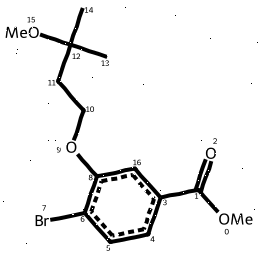 COC(=O)c1ccc(Br)c(OCCC(C)(C)OC)c1